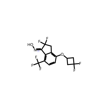 O/N=C1/c2c(C(F)(F)F)ccc(OC3CC(F)(F)C3)c2CC1(F)F